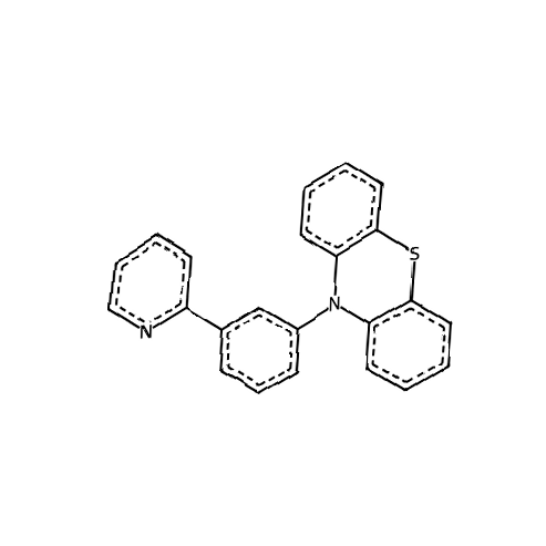 c1ccc(-c2cccc(N3c4ccccc4Sc4ccccc43)c2)nc1